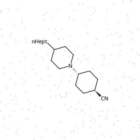 CCCCCCCC1CCN([C@H]2CC[C@H](C#N)CC2)CC1